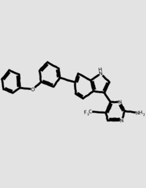 Nc1ncc(C(F)(F)F)c(-c2c[nH]c3cc(-c4cccc(Oc5ccccc5)c4)ccc23)n1